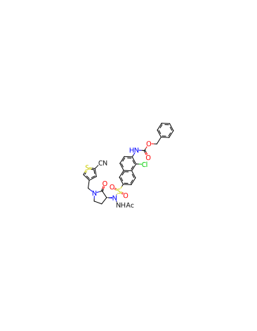 CC(=O)NN([C@H]1CCN(Cc2csc(C#N)c2)C1=O)S(=O)(=O)c1ccc2c(Cl)c(NC(=O)OCc3ccccc3)ccc2c1